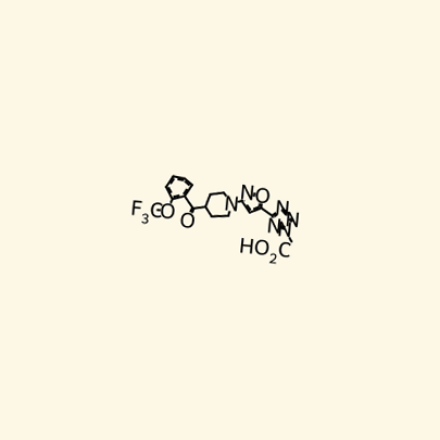 O=C(O)Cn1nnc(-c2cc(N3CCC(C(=O)c4ccccc4OC(F)(F)F)CC3)no2)n1